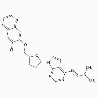 CN(C)/C=N/c1ncnc2c1ccn2C1CCC(COc2cc3ncccc3cc2Cl)O1